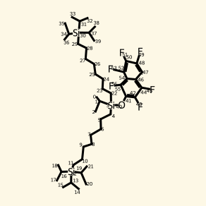 CC(C)[Si](CCCCCCCC[Si](C(C)C)(C(C)C)C(C)C)(CCCCCCCC[Si](C(C)C)(C(C)C)C(C)C)Oc1c(F)c(F)c2[c]c(F)c(F)c(F)c2c1F